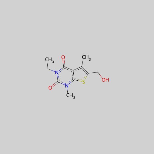 CCn1c(=O)c2c(C)c(CO)sc2n(C)c1=O